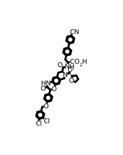 N#Cc1ccc(-c2ccc(C[C@H](NC(=O)C3Cc4cc5c(cc4CN3C(=O)[C@@H]3CCCO3)OC(c3ccc(OCc4ccc(Cl)c(Cl)c4)cc3)C(=O)N5)C(=O)O)cc2)cc1